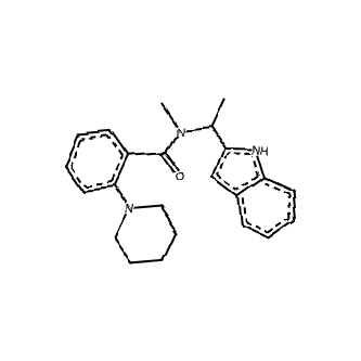 CC(c1cc2ccccc2[nH]1)N(C)C(=O)c1ccccc1N1CCCCC1